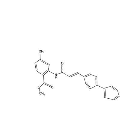 COC(=O)c1ccc(O)cc1NC(=O)C=Cc1ccc(-c2ccccc2)cc1